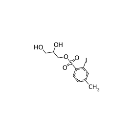 Cc1ccc(S(=O)(=O)OCC(O)CO)c(I)c1